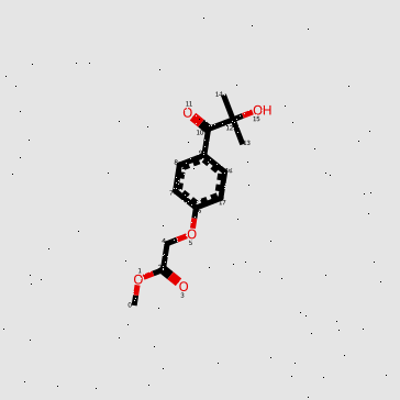 COC(=O)COc1ccc(C(=O)C(C)(C)O)cc1